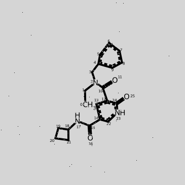 CCN(Cc1ccccc1)C(=O)c1cc(C(=O)NC2CCC2)c[nH]c1=O